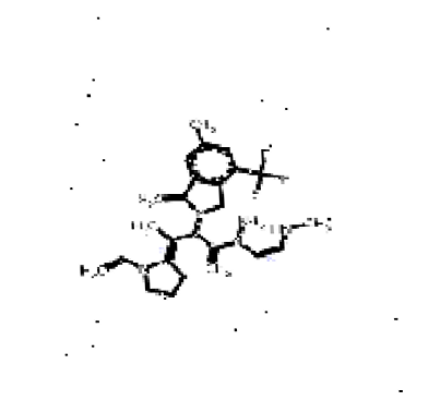 C=CN1CCC/C1=C(/C)C(C(=C)N(N)/C=C\NC)N1Cc2c(cc(C)cc2C(F)(F)F)C1=C